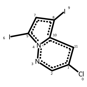 Clc1cnn2c(I)cc(I)c2c1